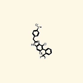 C[S+]([O-])c1ccc(Cc2nc3c(Cl)c(-c4ccccc4C(F)(F)F)c(Cl)cc3[nH]2)cc1